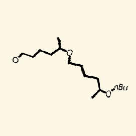 CCCCOC(C)CCCCOC(C)CCCC[O]